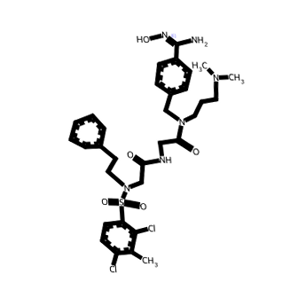 Cc1c(Cl)ccc(S(=O)(=O)N(CCc2ccccc2)CC(=O)NCC(=O)N(CCCN(C)C)Cc2ccc(/C(N)=N\O)cc2)c1Cl